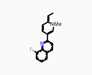 C/C=C(/C=C\C(=C/C)c1ccc2cccc(F)c2n1)NC